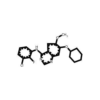 COc1cc2c(Nc3cccc(Cl)c3F)ncnc2cc1OC1CCCCC1